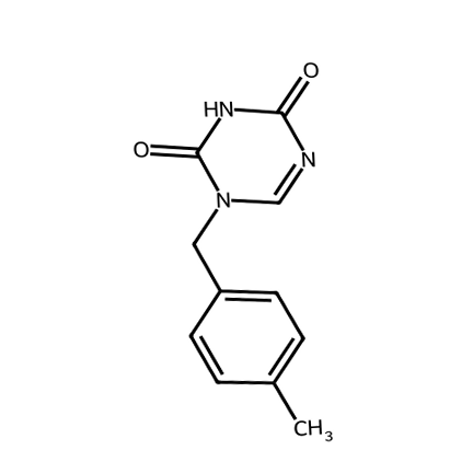 Cc1ccc(Cn2cnc(=O)[nH]c2=O)cc1